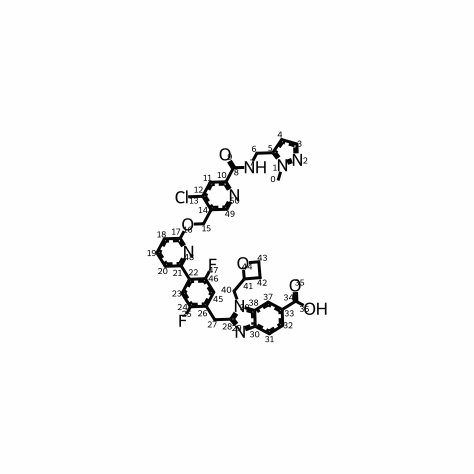 Cn1nccc1CNC(=O)c1cc(Cl)c(COc2cccc(-c3cc(F)c(Cc4nc5ccc(C(=O)O)cc5n4CC4CCO4)cc3F)n2)cn1